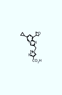 O=C(O)c1cn(Cc2cn3cc(C4CC4)cc(C4COC4)c3n2)nn1